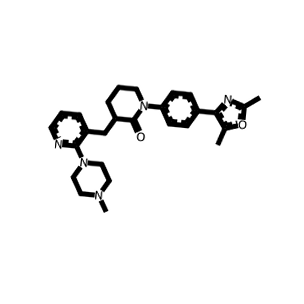 Cc1nc(-c2ccc(N3CCCC(Cc4cccnc4N4CCN(C)CC4)C3=O)cc2)c(C)o1